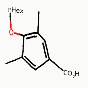 CCCCCCOc1c(C)cc(C(=O)O)cc1C